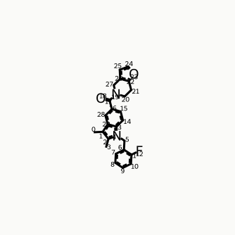 Cc1c(C)n(Cc2ccccc2F)c2ccc(C(=O)N3CCc4occc4C3)cc12